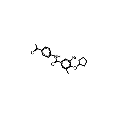 CC(=O)c1ccc(NC(=O)c2cc(C)c(OC3CCCC3)c(Br)c2)cc1